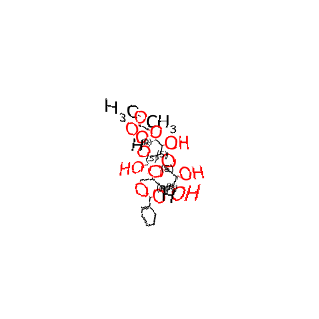 COC(=O)C1(C)OC2C(O)[C@H](O[C@@H]3OC4COC(c5ccccc5)O[C@@H]4[C@H](O)C3O)[C@H](CO)O[C@@H]2O1